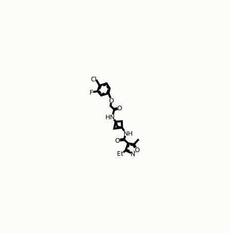 CCc1noc(C)c1C(=O)NC12CC(NC(=O)COc3ccc(Cl)c(F)c3)(C1)C2